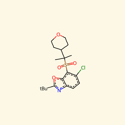 CC(C)(C)c1nc2ccc(Cl)c(S(=O)(=O)C(C)(C)C3CCOCC3)c2o1